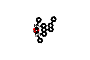 c1ccc(-c2ccc3c(-c4c5cccc(-n6c(-c7ccccc7)nc7ccccc76)c5cc5c(-n6c(-c7ccccc7)nc7ccccc76)cccc45)cccc3c2)cc1